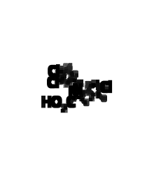 Cc1cc(-c2c(C)c(C(=O)O)nn2Cc2ccc(Cl)c(Cl)c2)ccc1Cl